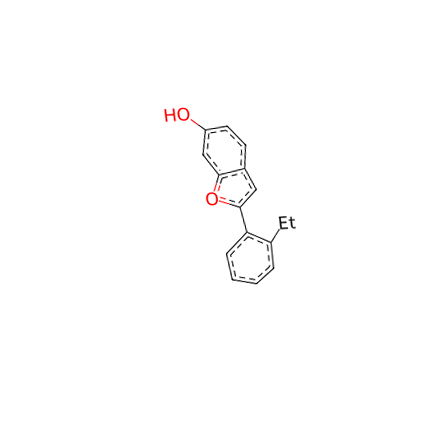 CCc1ccccc1-c1cc2ccc(O)cc2o1